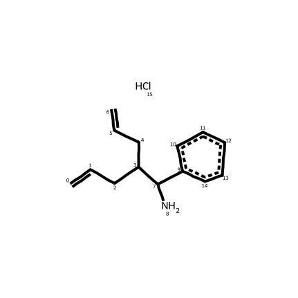 C=CCC(CC=C)C(N)c1ccccc1.Cl